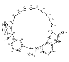 C[C@H]1Nc2ncnc3c2CN(CCCCCCCCCCC(C)(O)C(F)(F)c2cccc1c2)C(=O)N3